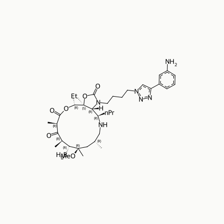 B[C@@H]1[C@@H](C)C(=O)[C@@H](C)C(=O)O[C@H](CC)[C@@]2(C)OC(=O)N(CCCCn3cc(-c4cccc(N)c4)nn3)[C@@H]2[C@@H](CCC)NC[C@H](C)C[C@@]1(C)OC